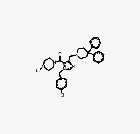 CCN1CCN(C(=O)c2c(CN3CCC(c4ccccc4)(c4ccccc4)CC3)ncn2Cc2ccc(Cl)cc2)CC1